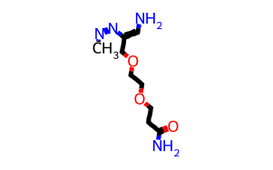 C/N=N\C(=C/N)COCCOCCC(N)=O